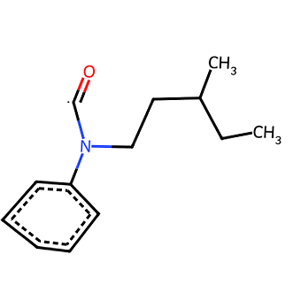 CCC(C)CCN([C]=O)c1ccccc1